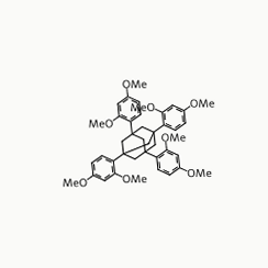 COc1ccc(C23CC4(c5ccc(OC)cc5OC)CC(c5ccc(OC)cc5OC)(C2)CC(c2ccc(OC)cc2OC)(C3)C4)c(OC)c1